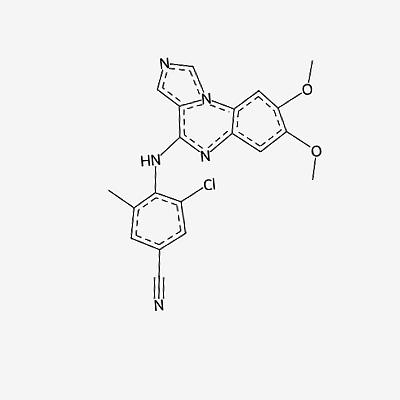 COc1cc2nc(Nc3c(C)cc(C#N)cc3Cl)c3cncn3c2cc1OC